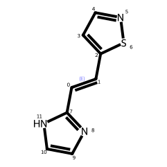 C(=C\c1ccns1)/c1ncc[nH]1